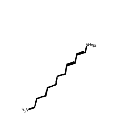 CCCCCCC/C=C/C=C/CCCCCCCN